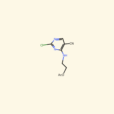 CC(=O)OCCNc1nc(Cl)ncc1C#N